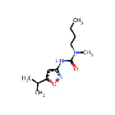 CCCCN(C)C(=O)Nc1cc(C(C)C)on1